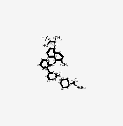 Cc1ccc2c(N[C@H](C)[C@@H](C)O)cccc2c1Oc1ncccc1-c1ccnc(N[C@H]2CCCN(C(=O)OC(C)(C)C)C2)n1